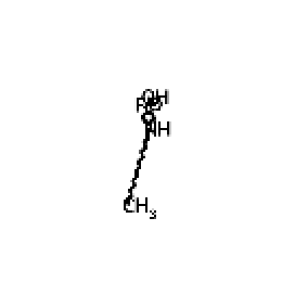 CCCCCCCCCCCCCCCCNc1ccc(C(F)C(=O)O)cc1